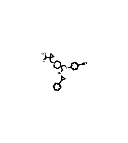 N#Cc1ccc(OCC2(CN[C@@H]3CC3c3ccccc3)CCN(CC3(C(=O)O)CC3)CC2)cc1